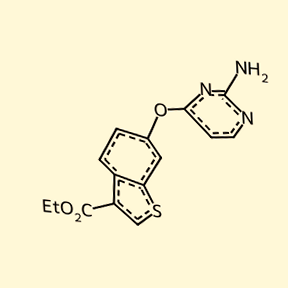 CCOC(=O)c1csc2cc(Oc3ccnc(N)n3)ccc12